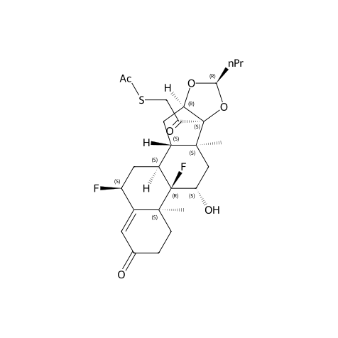 CCC[C@@H]1O[C@@H]2C[C@H]3[C@@H]4C[C@H](F)C5=CC(=O)CC[C@]5(C)[C@@]4(F)[C@@H](O)C[C@]3(C)[C@]2(C(=O)CSC(C)=O)O1